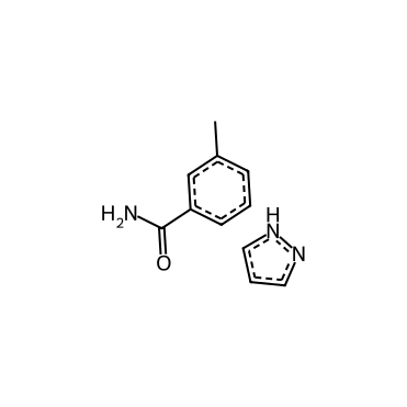 Cc1cccc(C(N)=O)c1.c1cn[nH]c1